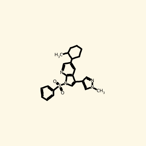 CC1CCCCC1c1cnc2c(c1)c(-c1cnn(C)c1)cn2S(=O)(=O)c1ccccc1